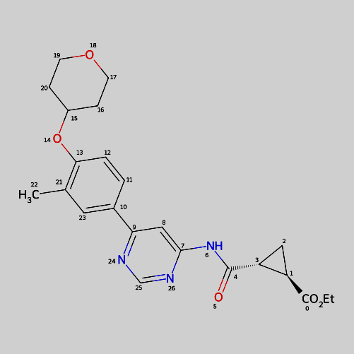 CCOC(=O)[C@@H]1C[C@H]1C(=O)Nc1cc(-c2ccc(OC3CCOCC3)c(C)c2)ncn1